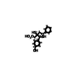 O=C(O)CC(S)(COc1ccccc1)C(S)c1ccc(O)cc1